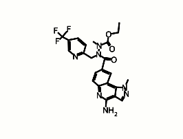 CCOC(=O)N(C)N(Cc1ccc(C(F)(F)F)cn1)C(=O)c1ccc2nc(N)c3cnn(C)c3c2c1